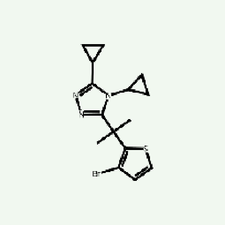 CC(C)(c1sccc1Br)c1nnc(C2CC2)n1C1CC1